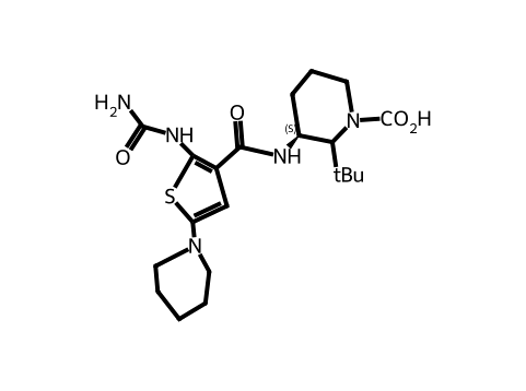 CC(C)(C)C1[C@@H](NC(=O)c2cc(N3CCCCC3)sc2NC(N)=O)CCCN1C(=O)O